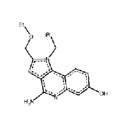 CCOCc1nc2c(N)nc3cc(O)ccc3c2n1CC(C)C